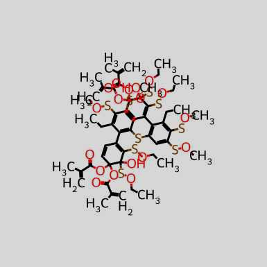 C=C(C)C(=O)OC1(OC(=O)C(=C)C)C=CC(c2c(Sc3cc(SOC)c(SOC)c(CC)c3C3=C(SOCC)C(O)(SOCC)C(OC(=O)C(=C)C)(OC(=O)C(=C)C)C=C3)cc(SOC)c(SOC)c2CC)=C(SOCC)C1(O)SOCC